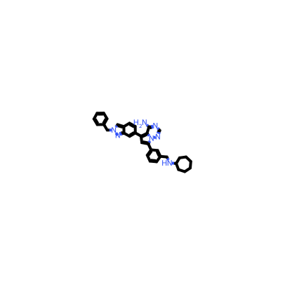 Nc1ncnn2c(-c3cccc(CNC4CCCCCC4)c3)cc(-c3ccc4cn(Cc5ccccc5)nc4c3)c12